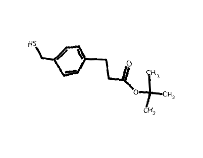 CC(C)(C)OC(=O)CCc1ccc(CS)cc1